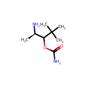 C[C@@H](N)C(OC(N)=O)C(C)(C)C